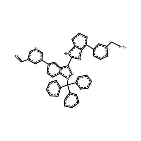 NCc1cccc(-c2cccc3[nH]c(-c4nn(C(c5ccccc5)(c5ccccc5)c5ccccc5)c5ccc(-c6cncc(C=O)c6)cc45)nc23)c1